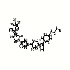 CCCCc1ccc(Nc2ccc(-c3noc([C@@H]4CCN(C(=O)OC(C)(C)C)C4)n3)cn2)cc1